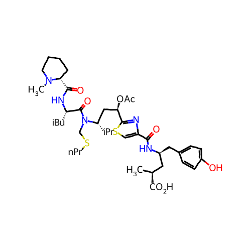 CCCSCN(C(=O)[C@@H](NC(=O)[C@H]1CCCCN1C)C(C)CC)[C@H](C[C@@H](OC(C)=O)c1nc(C(=O)N[C@@H](Cc2ccc(O)cc2)C[C@H](C)C(=O)O)cs1)C(C)C